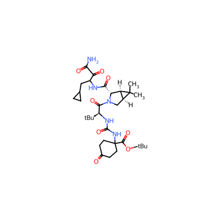 CC(C)(C)OC(=O)C1(NC(=O)N[C@H](C(=O)N2C[C@H]3[C@@H]([C@H]2C(=O)NC(CC2CC2)C(=O)C(N)=O)C3(C)C)C(C)(C)C)CCC(=O)CC1